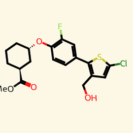 COC(=O)[C@H]1CCC[C@H](Oc2ccc(-c3sc(Cl)cc3CO)cc2F)C1